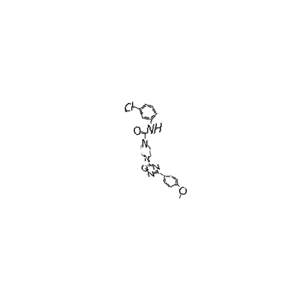 COc1ccc(-c2noc(N3CCN(C(=O)Nc4cccc(Cl)c4)CC3)n2)cc1